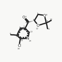 Cc1cc(C(=O)[C@@H]2COC(C)(C)O2)cnc1Cl